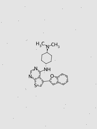 CN(C)[C@H]1CC[C@H](Nc2ncnc3scc(-c4cc5ccccc5o4)c23)CC1